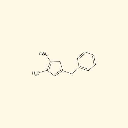 CCCCC1=C(C)C=C(Cc2ccccc2)C1